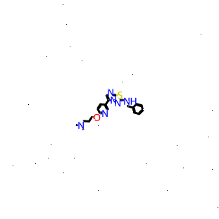 CN(C)CCCOc1ccc(-c2cnc3sc(NCc4ccccc4)nn23)cn1